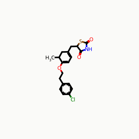 CC1CC(CC2SC(=O)NC2=O)=CC=C1OCCc1ccc(Cl)cc1